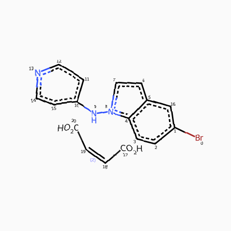 Brc1ccc2c(ccn2Nc2ccncc2)c1.O=C(O)/C=C\C(=O)O